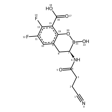 N#CCCC(=O)N[C@H]1Cc2cc(F)c(F)c(C(=O)O)c2OB1O